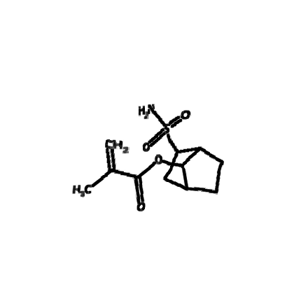 C=C(C)C(=O)OC1C2CCC1C(S(N)(=O)=O)C2